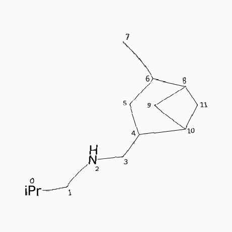 CC(C)CNCC1CC(C)C2CC1C2